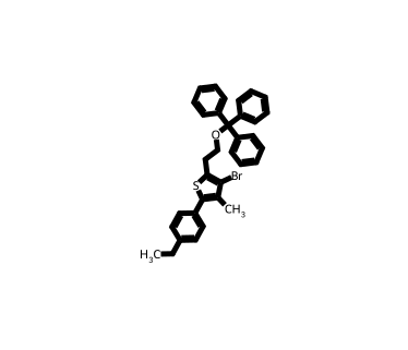 CCc1ccc(-c2sc(CCOC(c3ccccc3)(c3ccccc3)c3ccccc3)c(Br)c2C)cc1